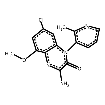 COc1cc(Cl)cc2c1nc(N)c(=O)n2-c1cccnc1C